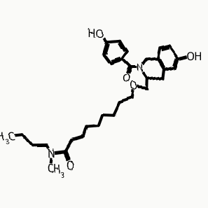 CCCCN(C)C(=O)CCCCCCCCOCC1Cc2cc(O)ccc2CN1C(=O)c1ccc(O)cc1